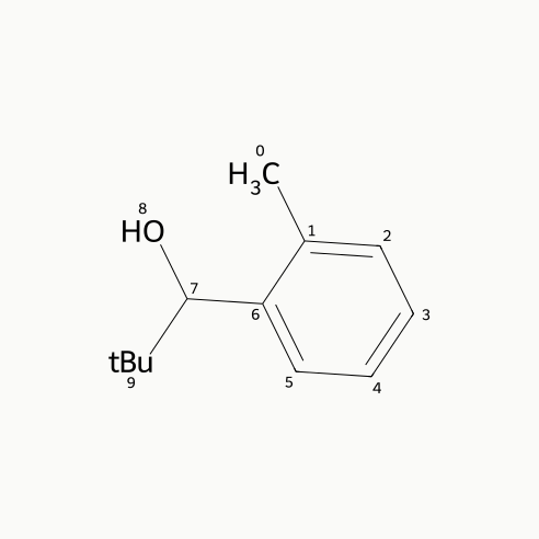 Cc1ccccc1C(O)C(C)(C)C